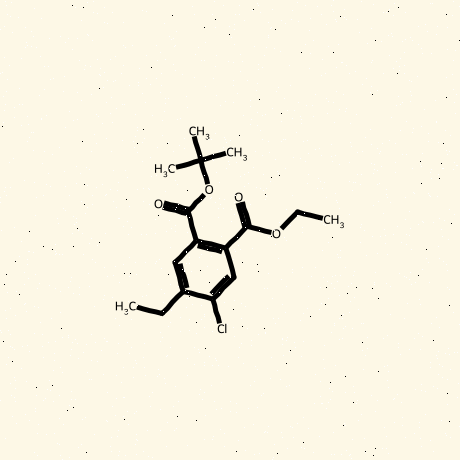 CCOC(=O)c1cc(Cl)c(CC)cc1C(=O)OC(C)(C)C